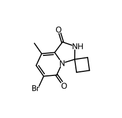 Cc1cc(Br)c(=O)n2c1C(=O)NC21CCC1